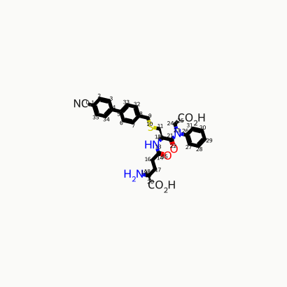 N#Cc1ccc(-c2ccc(CSC[C@H](NC(=O)CC[C@H](N)C(=O)O)C(=O)N(CC(=O)O)c3ccccc3)cc2)cc1